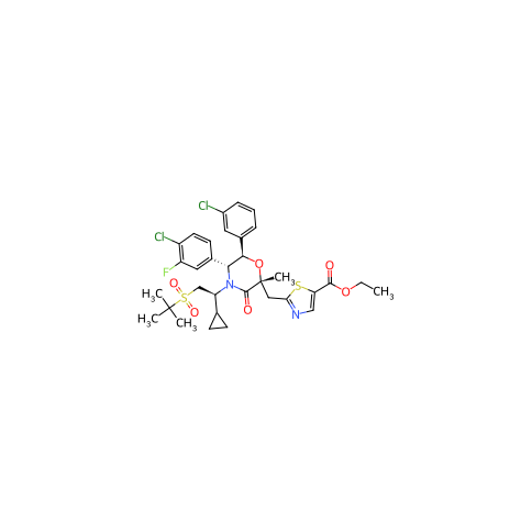 CCOC(=O)c1cnc(C[C@@]2(C)O[C@H](c3cccc(Cl)c3)[C@@H](c3ccc(Cl)c(F)c3)N([C@H](CS(=O)(=O)C(C)(C)C)C3CC3)C2=O)s1